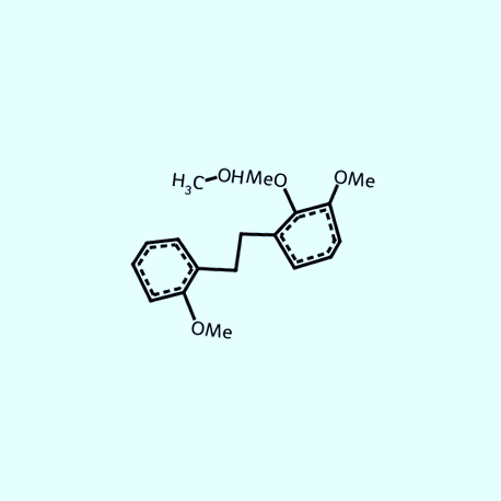 CO.COc1ccccc1CCc1cccc(OC)c1OC